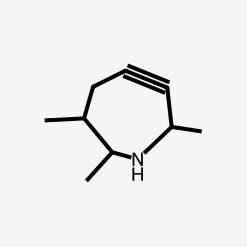 CC1C#CCC(C)C(C)N1